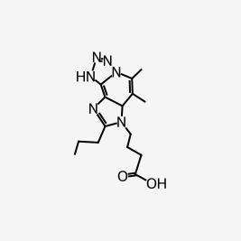 CCCC1=NC2=C3NN=NN3C(C)=C(C)C2N1CCCC(=O)O